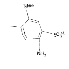 CNc1cc(S(=O)(=O)O)c(N)cc1C